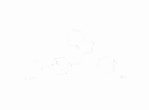 CC(C)c1ccc(-c2nc3ccccn3c2CN2CC3CCC2CN3C(=O)OC(C)(C)C)cn1